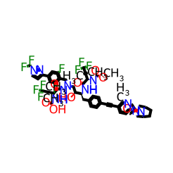 COC(=O)N[C@H](C(=O)N[C@@H](Cc1ccc(C#Cc2ccc(N3CC4CCC(C3)N4C3COC3)nc2C)cc1)[C@@H](O)CN(Cc1c(F)cc(-c2ccn(C(F)F)n2)cc1F)NC(=O)[C@@H](NC(=O)O)C(C)(C)C(F)(F)F)C(C)(C)C(F)(F)F